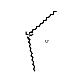 CCCCCCCCCCCCCCC=C[N+](C=CCCCCCCCCCCCCCC)(CC)CC.[Cl-]